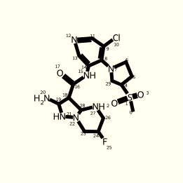 CS(=O)(=O)C1CCN(c2c(Cl)cncc2NC(=O)C2C(N)NN3CC(F)CNC23)C1